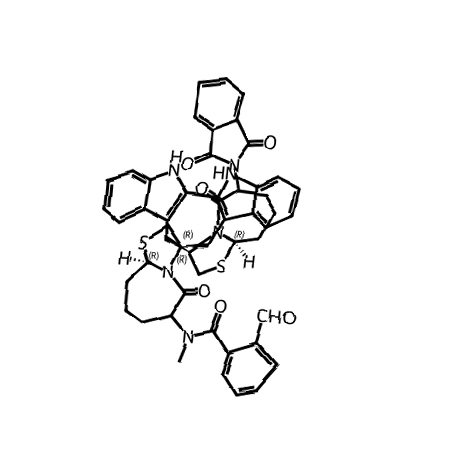 CN(C(=O)c1ccccc1C=O)C1CCC[C@H]2SC[C@@H](Cc3c(-c4[nH]c5ccccc5c4C[C@@H]4CS[C@@H]5CCCC(N6C(=O)c7ccccc7C6=O)C(=O)N45)[nH]c4ccccc34)N2C1=O